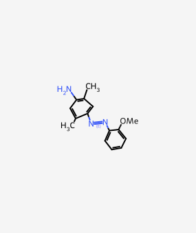 COc1ccccc1/N=N/c1cc(C)c(N)cc1C